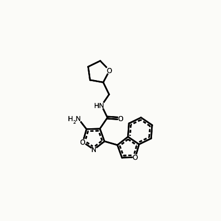 Nc1onc(-c2coc3ccccc23)c1C(=O)NCC1CCCO1